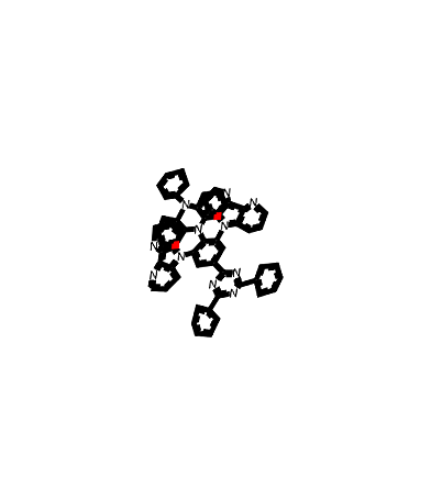 c1ccc(-c2nc(-c3ccccc3)nc(-c3cc(-n4c5cccnc5c5ncccc54)c(N4c5ccccc5N(c5ccccc5)c5ccccc54)c(-n4c5cccnc5c5ncccc54)c3)n2)cc1